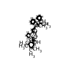 CC1(C)CC(C)(C)CC(O)(C(F)(F)C(=O)N2CCC[C@H]2c2cc(CO[Si](c3ccccc3)(c3ccccc3)C(C)(C)C)on2)C1